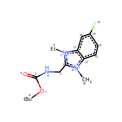 CCn1c(CNC(=O)OC(C)(C)C)[n+](C)c2ccc(F)cc21